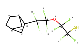 FC(F)(S)C(F)(F)OC(F)(F)C(F)(F)C1CC2CCC1C2